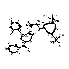 Cc1cc(F)ccc1[C@@H]1CN(C(=O)c2ccccn2)CC[C@H]1C(=O)N(C)Cc1cc(C(F)(F)F)cc(C(F)(F)F)c1